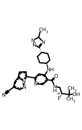 CC1N=NC([C@H]2CC[C@H](Nc3cc(-c4ccc5cc(C#N)cnn45)ncc3C(=O)NC[C@@H](F)C(C)(C)O)CC2)=N1